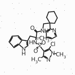 Cc1nn(C)c(Cl)c1S(=O)(=O)N[C@@](C)(Cc1c[nH]c2ccccc12)C(=O)NCC1(c2ccccn2)CCCCC1